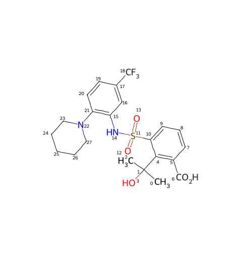 CC(C)(O)c1c(C(=O)O)cccc1S(=O)(=O)Nc1cc(C(F)(F)F)ccc1N1CCCCC1